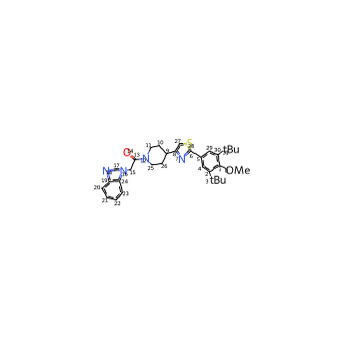 COc1c(C(C)(C)C)cc(-c2nc(C3CCN(C(=O)Cn4cnc5ccccc54)CC3)cs2)cc1C(C)(C)C